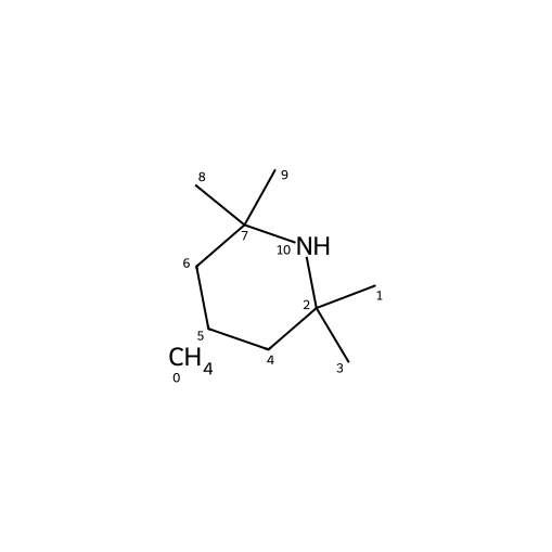 C.CC1(C)CCCC(C)(C)N1